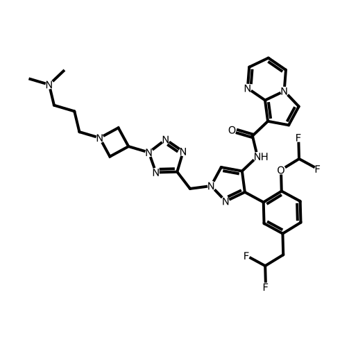 CN(C)CCCN1CC(n2nnc(Cn3cc(NC(=O)c4ccn5cccnc45)c(-c4cc(CC(F)F)ccc4OC(F)F)n3)n2)C1